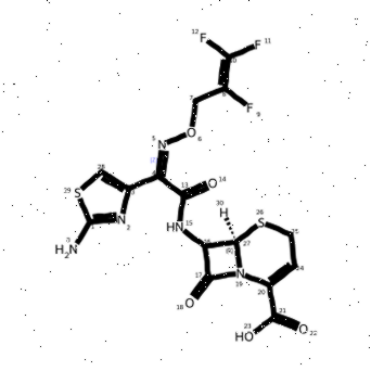 Nc1nc(/C(=N/OCC(F)=C(F)F)C(=O)NC2C(=O)N3C(C(=O)O)=CCS[C@H]23)cs1